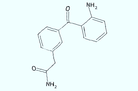 NC(=O)Cc1cccc(C(=O)c2ccccc2N)c1